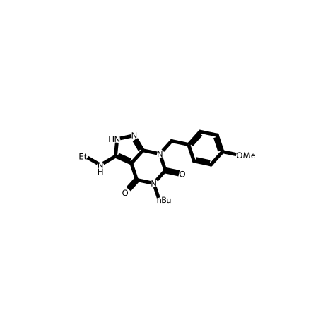 CCCCn1c(=O)c2c(NCC)[nH]nc2n(Cc2ccc(OC)cc2)c1=O